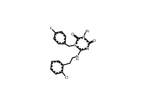 CC(C)n1c(=O)nc(NCCc2ccccc2Cl)n(Cc2ccc(F)cc2)c1=O